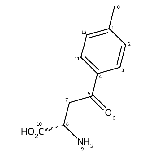 Cc1ccc(C(=O)C[C@H](N)C(=O)O)cc1